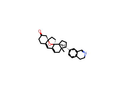 CC12CC=C3C=C4CCC(=O)C[C@]45CC[C@]3(O5)[C@@H]1CC[C@@H]2c1ccc2c(c1)C=NCC2